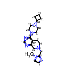 Cn1ccnc1CN1CCc2c(ncnc2N2CCN(C3CCC3)CC2)C1